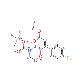 CCOC(=O)/C=C(/c1ccc(F)cc1)C1CN(C(=O)OC(C)(C)C)CCO1